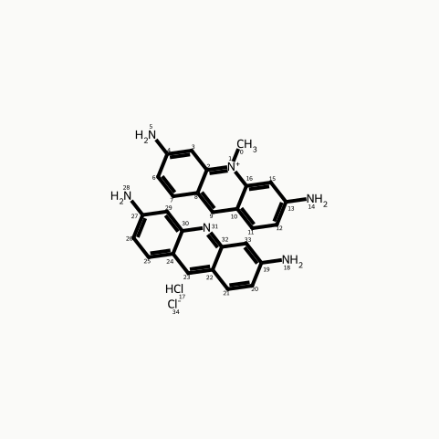 C[n+]1c2cc(N)ccc2cc2ccc(N)cc21.Cl.Nc1ccc2cc3ccc(N)cc3nc2c1.[Cl-]